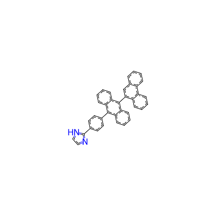 c1ccc2c(c1)cc(-c1c3ccccc3c(-c3ccc(-c4ncc[nH]4)cc3)c3ccccc13)c1ccccc12